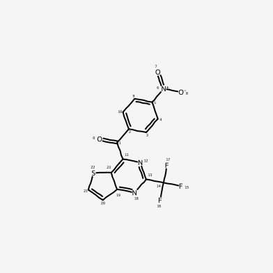 O=C(c1ccc([N+](=O)[O-])cc1)c1nc(C(F)(F)F)nc2ccsc12